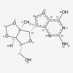 C[C@@]12OCO[C@@H]1[C@@H](CO)O[C@H]2c1coc2c(O)nc(N)nc12